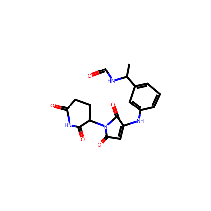 CC(NC=O)c1cccc(NC2=CC(=O)N(C3CCC(=O)NC3=O)C2=O)c1